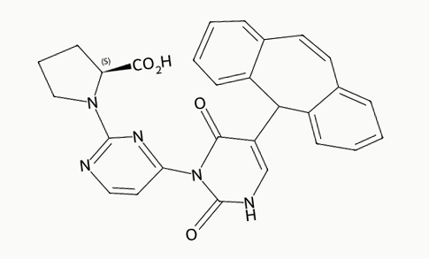 O=C(O)[C@@H]1CCCN1c1nccc(-n2c(=O)[nH]cc(C3c4ccccc4C=Cc4ccccc43)c2=O)n1